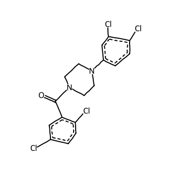 O=C(c1cc(Cl)ccc1Cl)N1CCN(c2ccc(Cl)c(Cl)c2)CC1